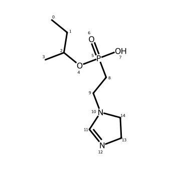 CCC(C)OP(=O)(O)CCN1C=NCC1